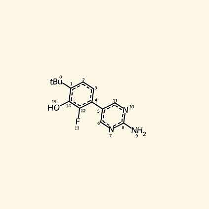 CC(C)(C)c1ccc(-c2cnc(N)nc2)c(F)c1O